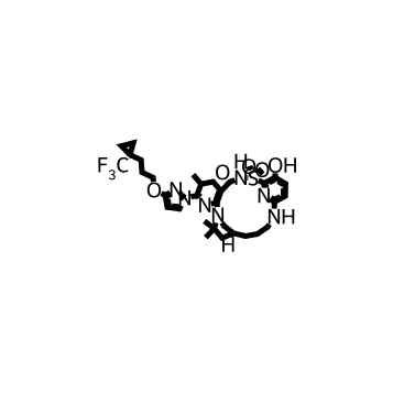 CC1CC2=C(N=C1n1ccc(OCCCC3(C(F)(F)F)CC3)n1)N1C[C@@H](CCCNc3ccc(O)c(n3)S(=O)(=O)NC2=O)CC1(C)C